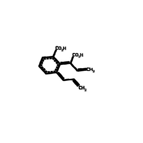 C=C/C=c1/cccc(C(=O)O)/c1=C(/C=C)C(=O)O